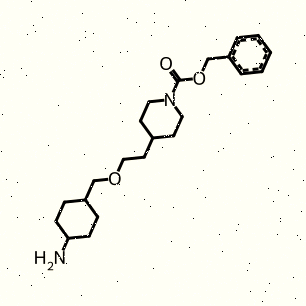 NC1CCC(COCCC2CCN(C(=O)OCc3ccccc3)CC2)CC1